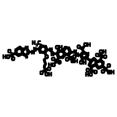 Cc1cc(N=Nc2c(S(=O)(=O)O)cc3c(S(=O)(=O)O)c(N=Nc4c(C(=O)O)nn(-c5cc(S(=O)(=O)O)c6cc(S(=O)(=O)O)cc(S(=O)(=O)O)c6c5)c4O)ccc3c2O)c(OCCCS(=O)(=O)O)cc1N=Nc1nc2ccc(S(=O)(=O)O)cc2s1